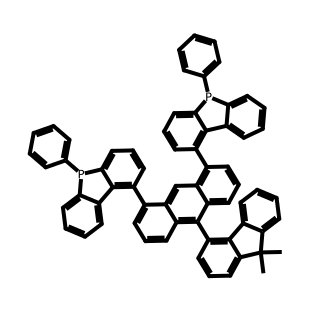 CC1(C)c2ccccc2-c2c(-c3c4cccc(-c5cccc6c5c5ccccc5p6-c5ccccc5)c4cc4c(-c5cccc6c5c5ccccc5p6-c5ccccc5)cccc34)cccc21